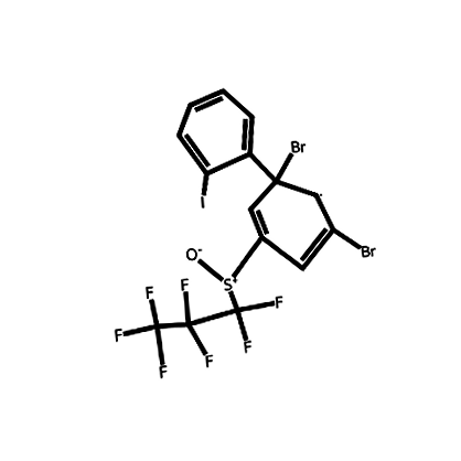 [O-][S+](C1=CC(Br)(c2ccccc2I)[CH]C(Br)=C1)C(F)(F)C(F)(F)C(F)(F)F